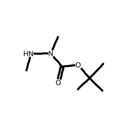 CNN(C)C(=O)OC(C)(C)C